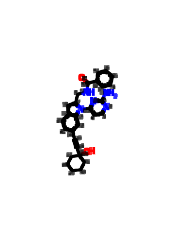 Nc1nccc(-n2c(CNC(=O)c3ccccc3)cc3ccc(C#CC4(O)CCCCC4)cc32)n1